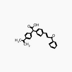 C=C(C)c1ccc(C(C(=O)O)c2ccc(C=CC(=O)c3ccccc3)cc2)cc1